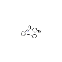 O=C(/C=C/c1ccccc1C#Cc1ccccc1)c1ccc(Br)cc1